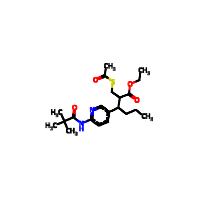 CCCC(c1ccc(NC(=O)C(C)(C)C)nc1)C(CSC(C)=O)C(=O)OCC